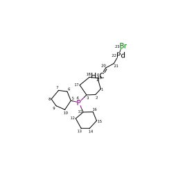 C1CCC(P(C2CCCCC2)C2CCCCC2)CC1.C=C[CH2][Pd][Br]